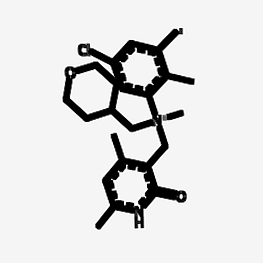 [CH]c1cc(Cl)cc([N+](C)(Cc2c(C)cc(C)[nH]c2=O)CC2CCOCC2)c1C